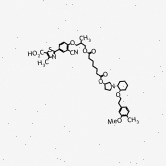 COc1cc(CCO[C@@H]2CCCC[C@H]2N2CC[C@@H](OC(=O)CCCCCC(=O)OCC(C)COc3ccc(-c4nc(C)c(C(=O)O)s4)cc3C#N)C2)ccc1C